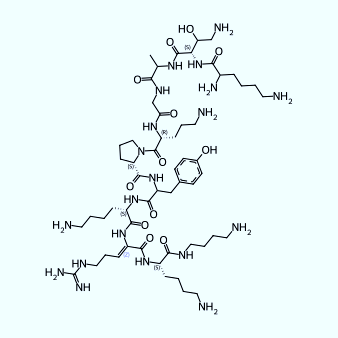 CC(NC(=O)[C@@H](NC(=O)C(N)CCCCN)C(O)CN)C(=O)NCC(=O)N[C@H](CCCN)C(=O)N1CCC[C@H]1C(=O)NC(Cc1ccc(O)cc1)C(=O)N[C@@H](CCCCN)C(=O)N/C(=C\CCNC(=N)N)C(=O)N[C@@H](CCCCN)C(=O)NCCCCN